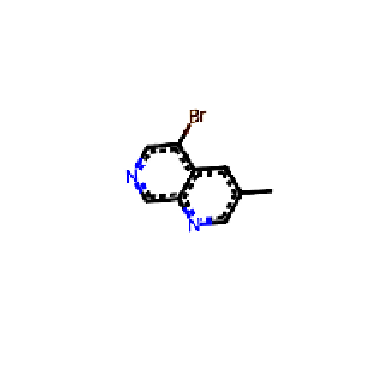 Cc1cnc2cncc(Br)c2c1